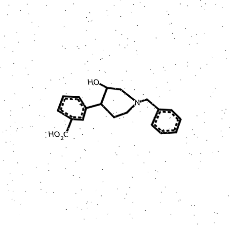 O=C(O)c1cccc(C2CCN(Cc3ccccc3)CC2O)c1